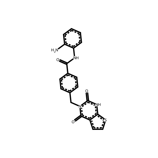 Nc1ccccc1NC(=O)c1ccc(Cn2c(=O)[nH]c3sccc3c2=O)cc1